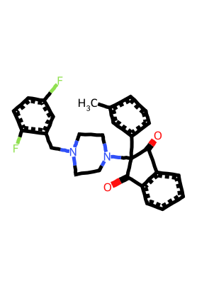 Cc1cccc(C2(N3CCN(Cc4cc(F)ccc4F)CC3)C(=O)c3ccccc3C2=O)c1